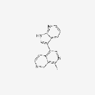 Cc1ncc(-c2c[nH]c3ncccc23)c2ccncc12